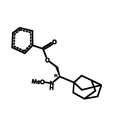 CON[C@@H](COC(=O)c1ccccc1)C12CC3CC(C1)C(C3)C2